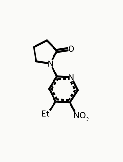 CCc1cc(N2CCCC2=O)ncc1[N+](=O)[O-]